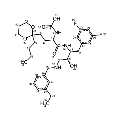 CCCCC1(CC[C@@H](NC(=O)O)C(=O)N[C@@H](Cc2cc(F)cc(F)c2)[C@@H](O)CNCc2cccc(CC)c2)OCCCO1